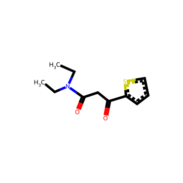 CCN(CC)C(=O)CC(=O)c1cccs1